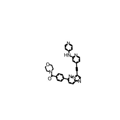 O=C(c1ccc(-c2ccc3ncc(C#Cc4ccnc(Nc5ccncc5)c4)n3n2)cc1)N1CCOCC1